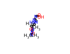 Cc1c(Nc2nccc3cc(CN4CC[C@@H](C(=O)O)C4)cnc23)cccc1-c1cccc(-c2nc3c(o2)CN(C(=O)CN(C)C)C3)c1C